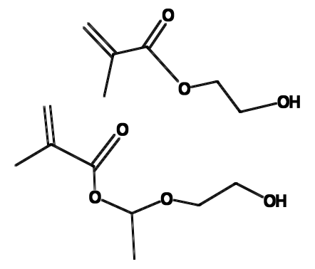 C=C(C)C(=O)OC(C)OCCO.C=C(C)C(=O)OCCO